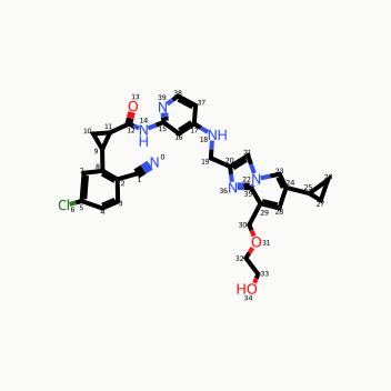 N#Cc1ccc(Cl)cc1C1CC1C(=O)Nc1cc(NCc2cn3cc(C4CC4)cc(COCCO)c3n2)ccn1